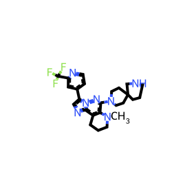 CN1CCCc2c1c(N1CCC3(CCCNC3)CC1)nn1c(-c3ccnc(C(F)(F)F)c3)cnc21